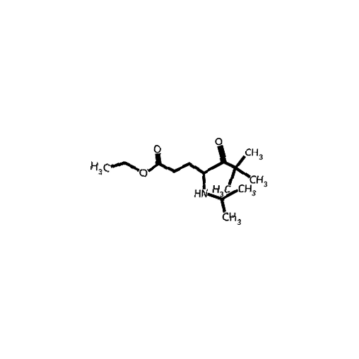 CCOC(=O)CCC(NC(C)C)C(=O)C(C)(C)C